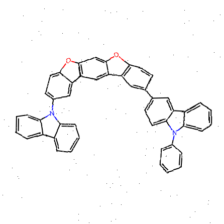 c1ccc(-n2c3ccccc3c3cc(-c4ccc5oc6cc7oc8ccc(-n9c%10ccccc%10c%10ccccc%109)cc8c7cc6c5c4)ccc32)cc1